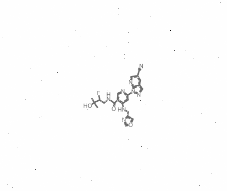 CC(C)(O)C(F)CNC(=O)c1cnc(-n2ncc3cc(C#N)cnc32)cc1NCc1cocn1